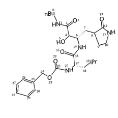 CCCCNC(=O)C(O)[C@H](CC1CCNC1=O)NC(=O)[C@H](CC(C)C)NC(=O)OCc1ccccc1